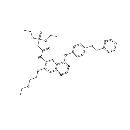 CCOCCOc1cc2ncnc(Nc3ccc(OCc4ccccn4)cc3)c2cc1NC(=O)CP(=O)(OCC)OCC